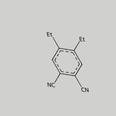 CCc1cc(C#N)c(C#N)cc1CC